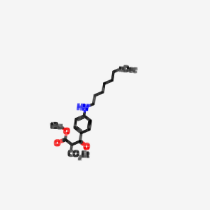 CCCCCCCCCCCCCCCCNc1ccc(C(=O)C(C(=O)OCC)C(=O)OC(C)(C)C)cc1